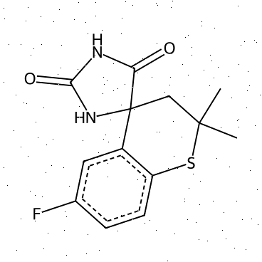 CC1(C)CC2(NC(=O)NC2=O)c2cc(F)ccc2S1